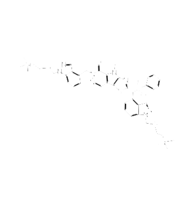 Cn1c2nc(C(c3cccc4c3cnn4COCC[Si](C)(C)C)S(=O)(=O)c3ccccc3)sc2c2cnn(Cc3cccc4c3cnn4COCC[Si](C)(C)C)c(=O)c21